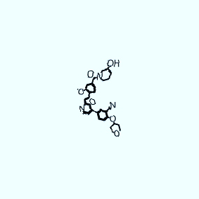 COc1cc(C(=O)N2CCCC(O)C2)ccc1-c1cc2nccc(-c3ccc(OC4CCOCC4)c(C#N)c3)c2o1